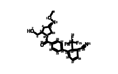 CO/N=C1\CC(CO)N(C(=O)c2ccc(-c3cccc(C#N)c3C(F)(F)F)cc2)C1